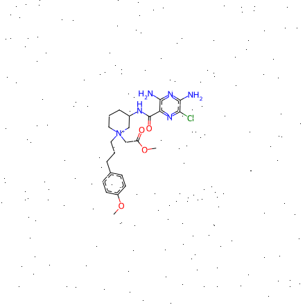 COC(=O)C[N+]1(CCCc2ccc(OC)cc2)CCCC(NC(=O)c2nc(Cl)c(N)nc2N)C1